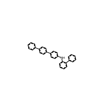 c1ccc(-c2ccc(-c3ccc(Nc4ccccc4-c4ccccc4)cc3)cc2)cc1